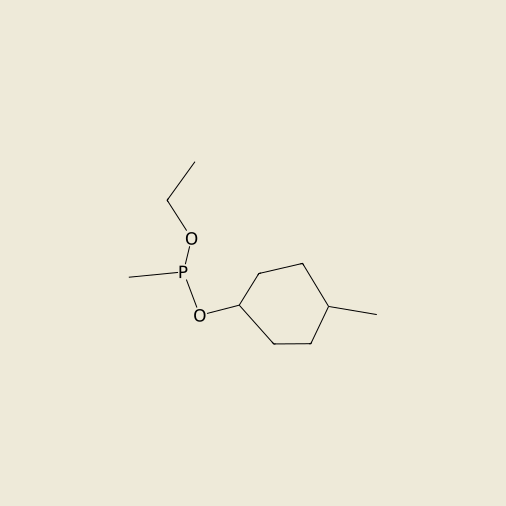 CCOP(C)OC1CCC(C)CC1